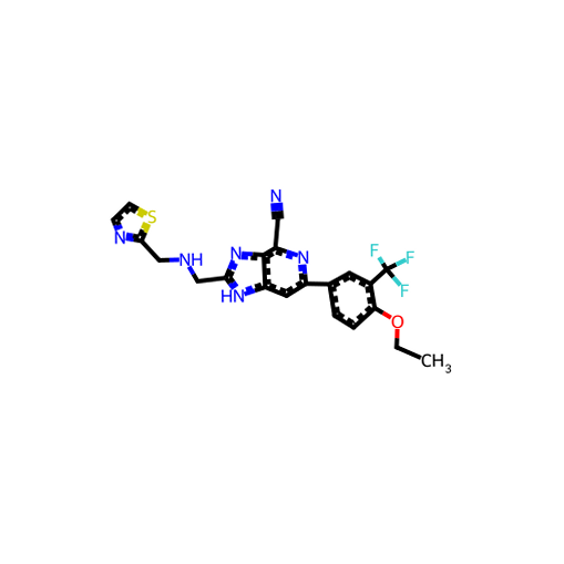 CCOc1ccc(-c2cc3[nH]c(CNCc4nccs4)nc3c(C#N)n2)cc1C(F)(F)F